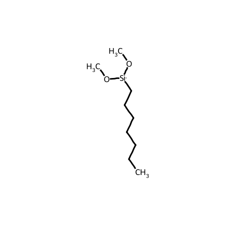 CCCCCCC[Si](OC)OC